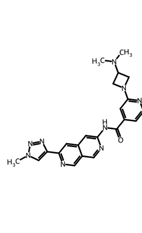 CN(C)C1CN(c2cc(C(=O)Nc3cc4cc(-c5cn(C)nn5)ncc4cn3)ccn2)C1